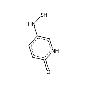 O=c1ccc(NS)c[nH]1